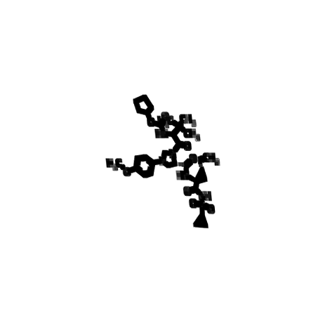 C=C[C@@H]1C[C@]1(NC(=O)[C@@H]1CN(c2ccc(OC)cc2)CN1C(=O)C(NC(=O)OC1CCCC1)C(C)(C)C)C(=O)NS(=O)(=O)C1CC1